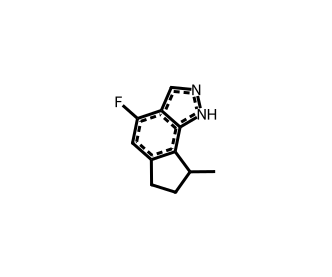 CC1CCc2cc(F)c3cn[nH]c3c21